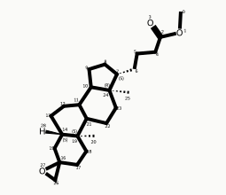 COC(=O)CCC[C@H]1CCC2C3CC[C@H]4CC5(CC[C@]4(C)C3CC[C@@]21C)CO5